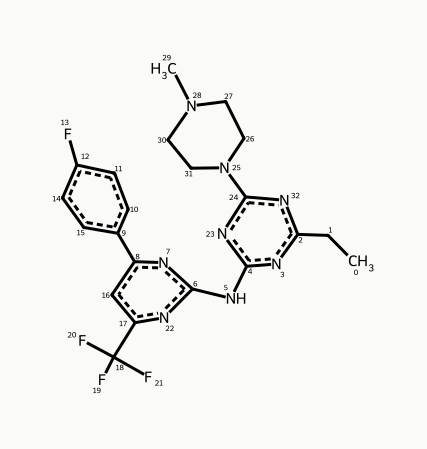 CCc1nc(Nc2nc(-c3ccc(F)cc3)cc(C(F)(F)F)n2)nc(N2CCN(C)CC2)n1